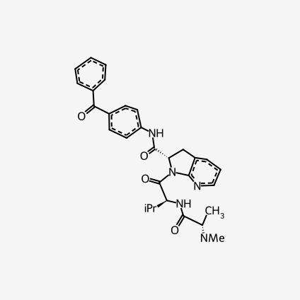 CN[C@@H](C)C(=O)N[C@H](C(=O)N1c2ncccc2C[C@H]1C(=O)Nc1ccc(C(=O)c2ccccc2)cc1)C(C)C